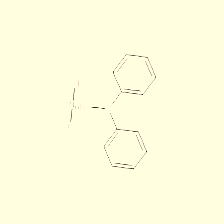 CCCCP(c1ccccc1)c1ccccc1.[Cl][Ni][Cl]